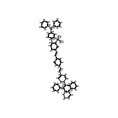 CCC1(CC)c2cc(/C=C/c3ccc(/C=C/C4=CCC(c5c(-c6ccccc6)c6c(c7ccccc57)C=CCC6)C=C4)cc3)ccc2-c2ccc(N(c3ccccc3)c3ccccc3)cc21